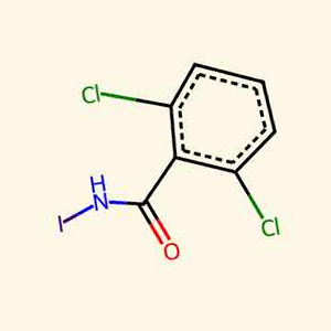 O=C(NI)c1c(Cl)cccc1Cl